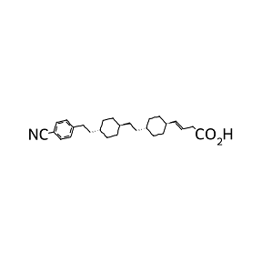 N#Cc1ccc(CC[C@H]2CC[C@H](CC[C@H]3CC[C@H](C=CCC(=O)O)CC3)CC2)cc1